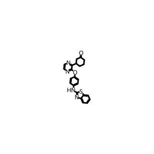 O=C1CCCC(c2nccnc2Oc2ccc(Nc3nc4ccccc4s3)cc2)C1